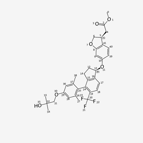 COC(=O)C[C@@H]1COc2cc(O[C@@H]3CCc4c3ccc(C(F)(F)F)c4-c3c(C)cc(OCC(C)(C)O)cc3C)ccc21